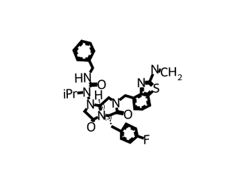 C=Nc1nc2c(CN3C[C@H]4N(C(=O)CN4N(C(=O)NCc4ccccc4)C(C)C)[C@@H](Cc4ccc(F)cc4)C3=O)cccc2s1